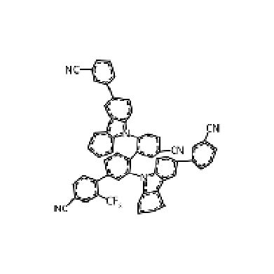 N#Cc1cccc(-c2ccc3c(c2)c2ccccc2n3-c2ccc(C#N)cc2-c2ccc(-c3ccc(C#N)cc3C(F)(F)F)cc2-n2c3ccccc3c3cc(-c4cccc(C#N)c4)ccc32)c1